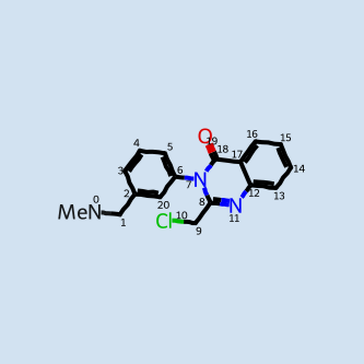 CNCc1cccc(-n2c(CCl)nc3ccccc3c2=O)c1